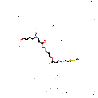 CCCSSCCNCCC(=O)OCCCCOC(=O)CCN(CC)CCCCO